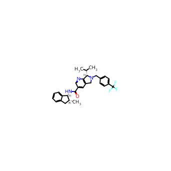 CC(C)[C@H]1c2ncc(C(=O)N[C@H]3c4ccccc4C[C@H]3C)cc2CN1Cc1ccc(C(F)(F)F)cc1